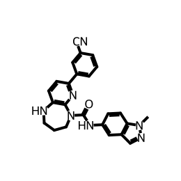 Cn1ncc2cc(NC(=O)N3CCCNc4ccc(-c5cccc(C#N)c5)nc43)ccc21